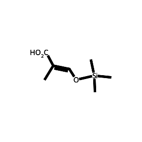 CC(=CO[Si](C)(C)C)C(=O)O